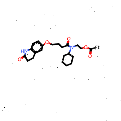 CCC(=O)OCCN(C(=O)CCCOc1ccc2c(c1)CCC(=O)N2)C1CCCCC1